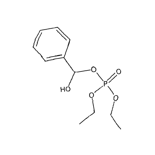 CCOP(=O)(OCC)OC(O)c1ccccc1